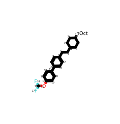 CCCCCCCCC1CCC(CCc2ccc(-c3ccc(OC(F)F)cc3)cc2)CC1